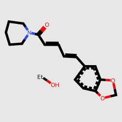 CCO.O=C(/C=C/C=C/c1ccc2c(c1)OCO2)N1CCCCC1